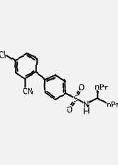 CCCC(CCC)NS(=O)(=O)c1ccc(-c2ccc(Cl)cc2C#N)cc1